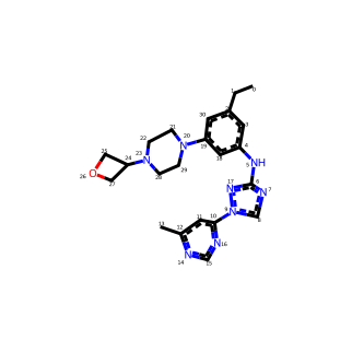 CCc1cc(Nc2ncn(-c3cc(C)ncn3)n2)cc(N2CCN(C3COC3)CC2)c1